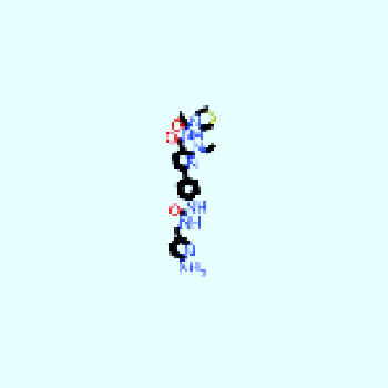 CCNc1nc(-c2ccc(NC(=O)NCc3ccc(N)nc3)cc2)ccc1C(=O)NC1(N2CCSCC2)CO1